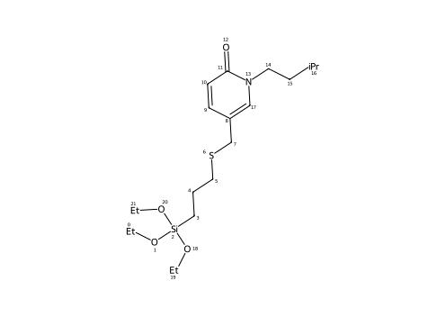 CCO[Si](CCCSCc1ccc(=O)n(CCC(C)C)c1)(OCC)OCC